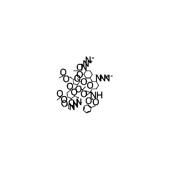 CC(=O)OC[C@H]1O[C@@H](O[C@H]2[C@H](C3O[C@H](C4(NC(=O)OCc5ccccc5)CC4)CCC3N=[N+]=[N-])[C@@H](C)CC(N=[N+]=[N-])[C@@H]2OC(C)=O)[C@H](OC(C)=O)[C@@H]1O[C@@H]1C[C@@H](OC(C)=O)[C@H](OC(C)=O)[C@H](CN=[N+]=[N-])O1